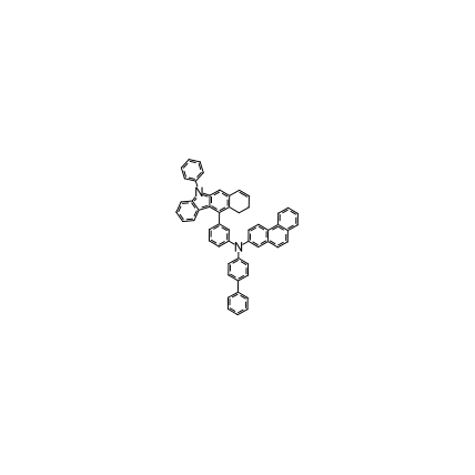 C1=Cc2cc3c(c(-c4cccc(N(c5ccc(-c6ccccc6)cc5)c5ccc6c(ccc7ccccc76)c5)c4)c2CC1)c1ccccc1n3-c1ccccc1